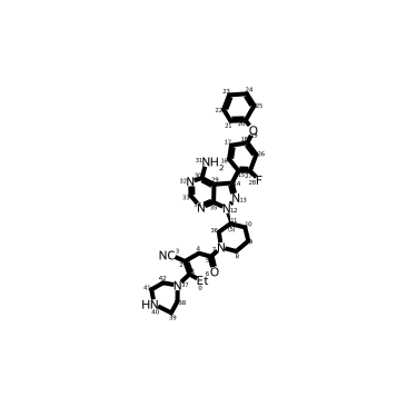 CCC(=C(C#N)CC(=O)N1CCC[C@H](n2nc(-c3ccc(Oc4ccccc4)cc3F)c3c(N)ncnc32)C1)N1CCNCC1